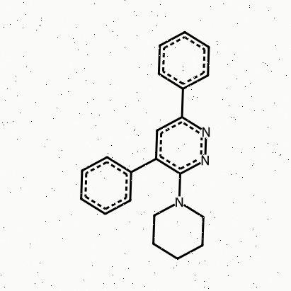 c1ccc(-c2cc(-c3ccccc3)c(N3CCCCC3)nn2)cc1